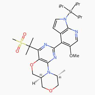 COc1cnc2c(ccn2[Si](C(C)C)(C(C)C)C(C)C)c1-c1nc2c(c(C(C)(C)S(C)(=O)=O)n1)OC[C@@H]1COC[C@@H](C)N21